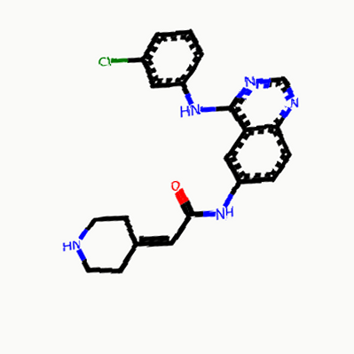 O=C(C=C1CCNCC1)Nc1ccc2ncnc(Nc3cccc(Cl)c3)c2c1